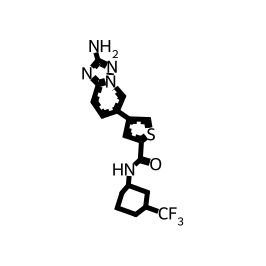 Nc1nc2ccc(-c3csc(C(=O)NC4CCCC(C(F)(F)F)C4)c3)cn2n1